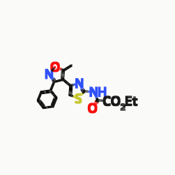 CCOC(=O)C(=O)Nc1nc(-c2c(-c3ccccc3)noc2C)cs1